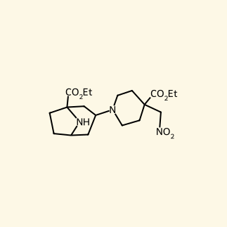 CCOC(=O)C1(C[N+](=O)[O-])CCN(C2CC3CCC(C(=O)OCC)(C2)N3)CC1